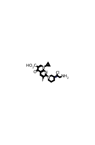 NC/C(Cl)=C1\CCCN(c2nc3c(cc2F)c(=O)c(C(=O)O)cn3C2CC2)C1